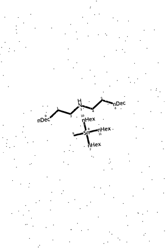 CCCCCCCCCCCCNCCCCCCCCCCCC.CCCCC[CH2][Sn]([CH3])([CH2]CCCCC)[CH2]CCCCC